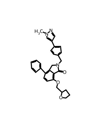 Cn1cc(-c2ccc(CN3Cc4c(-c5ccccc5)ccc(OCC5CCCO5)c4C3=O)cc2)cn1